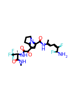 CNC(=O)[C@](C)(NC(=O)C(=O)c1cc(C(=O)N/C(C)=C/C=C(/F)[C@@H](N)F)n2c1CCC2)C(F)(F)F